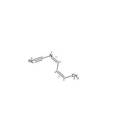 C#C/N=C\C=C/C